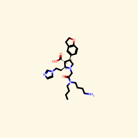 CCCCN(CCCCN)C(=O)CN1C[C@H](c2ccc3c(c2)CCO3)[C@@H](C(=O)O)[C@@H]1CCn1ccnc1